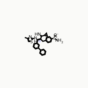 Cc1csc(N/C(=C(/Cc2ccc([S+](N)[O-])cc2)C(=N)C2CC2)c2cccc(-c3ccccc3)c2)n1